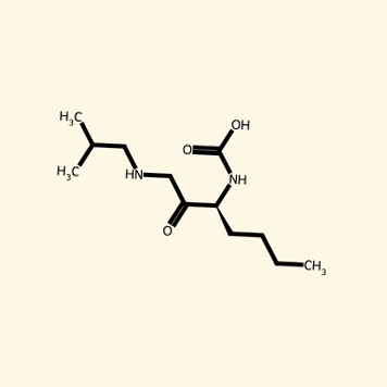 CCCC[C@H](NC(=O)O)C(=O)CNCC(C)C